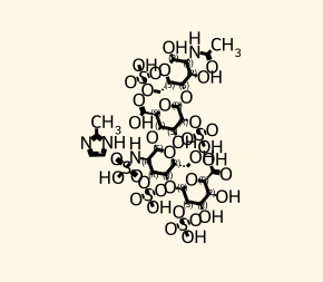 CC(=O)N[C@@H]1[C@@H](O)[C@H](O[C@@H]2O[C@H](C(=O)O)[C@@H](O[C@@H]3O[C@H](CO)[C@@H](O[C@H]4O[C@@H](C(=O)O)[C@H](O)[C@@H](O)[C@@H]4OS(=O)(=O)O)[C@H](OS(=O)(=O)O)[C@H]3NS(=O)(=O)O)[C@H](O)[C@H]2OS(=O)(=O)O)[C@H](COS(=O)(=O)O)O[C@H]1O.Cc1ncc[nH]1